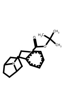 CC(C)(C)OC(=O)NCC1CC2CCC(C1)N2Cc1ccccc1